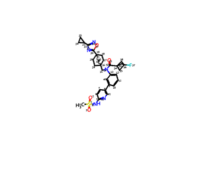 CS(=O)(=O)Nc1ccc(-c2cccc(N(CC34CCC(c5nc(C6CC6)no5)(CC3)CC4)C(=O)C34CC(F)(C3)C4)c2)cn1